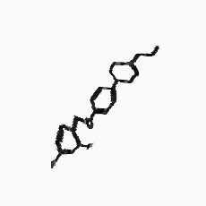 CCCC1CCC(c2ccc(OCc3ccc(F)cc3F)cc2)CC1